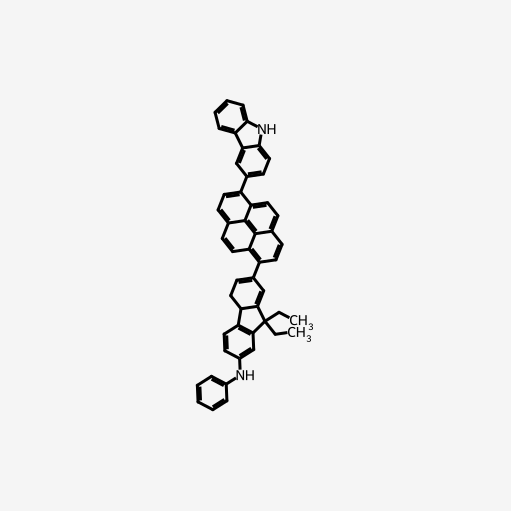 CCC1(CC)C2=CC(c3ccc4ccc5c(-c6ccc7[nH]c8ccccc8c7c6)ccc6ccc3c4c65)=CCC2c2ccc(Nc3ccccc3)cc21